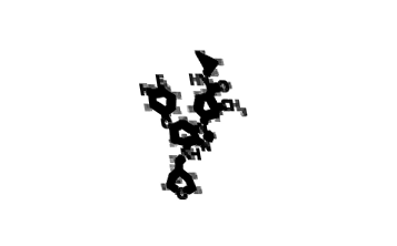 Cc1cc(-n2cnc3c(NCC4CCOCC4)cc(Oc4ccc(F)c(F)c4)cc32)ccc1C(=O)NC1CC1